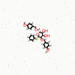 COc1ccc(COC[C@H]2O[C@@H](Sc3ccccc3)[C@H](OCc3ccc(OC)cc3)[C@@H](O)[C@H]2O)cc1